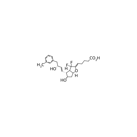 Cc1cccc(C[C@@H](O)C=C[C@@H]2[C@@H]3[C@H](C[C@H]2O)OC(=CCCCC(=O)O)C3(F)F)c1